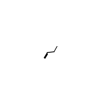 Br.C=C[CH2][Pd]